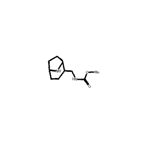 CC(C)(C)OC(=O)NCC1CCC2CCC1N2